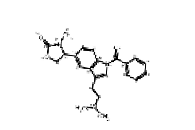 CN(C)CCc1cn(C(=O)c2ccccc2)c2ccc(C3COC(=O)N3C)cc12